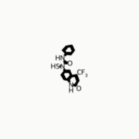 O=C(Nc1ccccc1)N(S)c1ccc2[nH]c(=O)cc(C(F)(F)F)c2c1